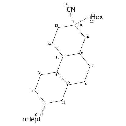 CCCCCCC[C@@H]1CCC2C(CCC3C[C@](C#N)(CCCCCC)CCC32)C1